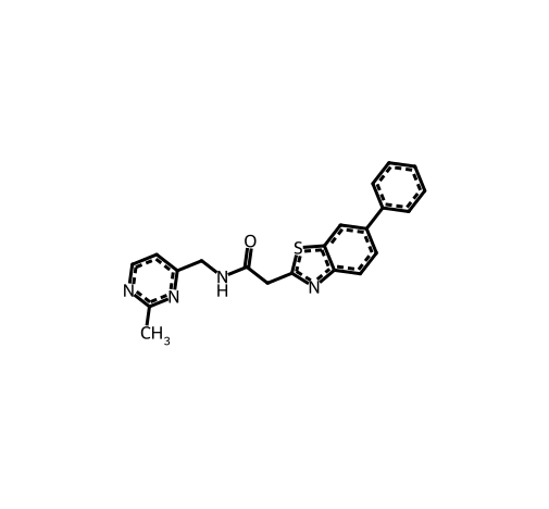 Cc1nccc(CNC(=O)Cc2nc3ccc(-c4ccccc4)cc3s2)n1